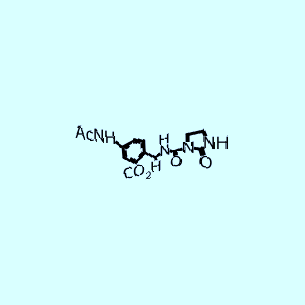 CC(=O)Nc1ccc(C(NC(=O)N2CCNC2=O)C(=O)O)cc1